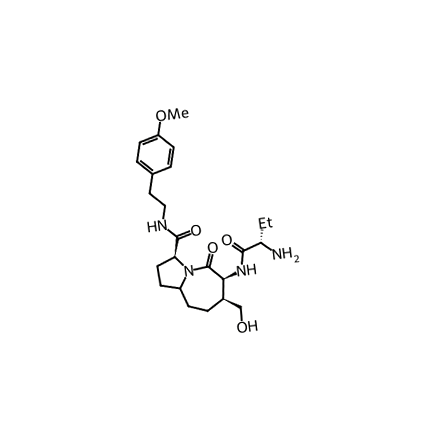 CC[C@H](N)C(=O)N[C@@H]1C(=O)N2C(CC[C@@H]1CO)CC[C@H]2C(=O)NCCc1ccc(OC)cc1